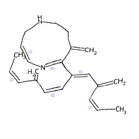 C=C(/C=C\C)\C=C/C(=C\C(=C)/C=C\C)C1=N/C=C\CNCCC\1=C